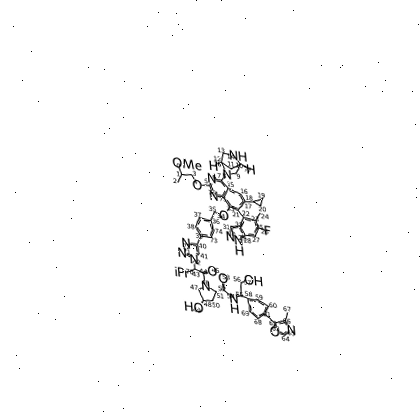 COC(C)COc1nc(N2C[C@@H]3C[C@H]2CN3)c2cc(C3CC3)c(-c3c(C)c(F)cc4[nH]ncc34)c(OCc3ccc(-c4cn(C(C(=O)N5C[C@H](O)C[C@H]5C(=O)NC(CO)c5ccc(-c6ocnc6C)cc5)C(C)C)nn4)cc3)c2n1